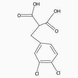 O=C(O)C(Cc1ccc(Cl)c(Cl)c1)C(=O)O